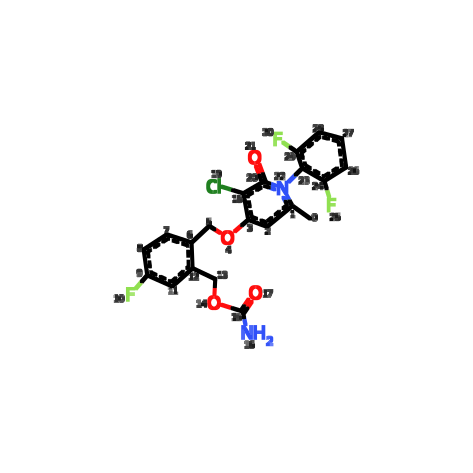 Cc1cc(OCc2ccc(F)cc2COC(N)=O)c(Cl)c(=O)n1-c1c(F)cccc1F